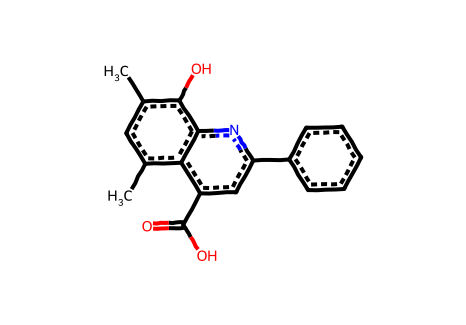 Cc1cc(C)c2c(C(=O)O)cc(-c3ccccc3)nc2c1O